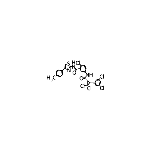 Cc1ccc(-c2csc(NC(=O)c3cc(NC(=O)[C@@H]4[C@@H](c5cc(Cl)cc(Cl)c5)C4(Cl)Cl)ccc3Cl)n2)cc1